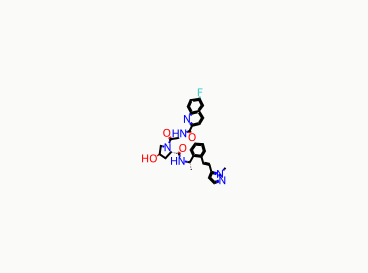 C[C@H](NC(=O)[C@@H]1C[C@@H](O)CN1C(=O)CNC(=O)c1ccc2cc(F)ccc2n1)c1ccccc1/C=C/c1ccnn1C